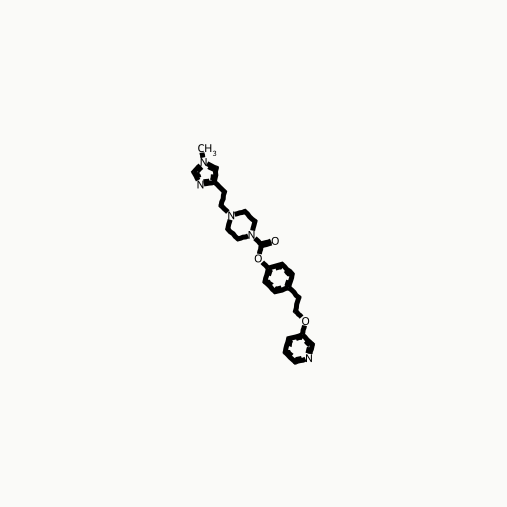 Cn1cnc(CCN2CCN(C(=O)Oc3ccc(CCOc4cccnc4)cc3)CC2)c1